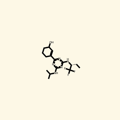 CC[C@@H](Nc1nc(NC(C)C)nc(C2=CC(O)CCC2)n1)C(F)(F)F